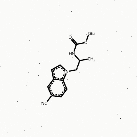 CC(Cn1ccc2cc(C#N)ccc21)NC(=O)OC(C)(C)C